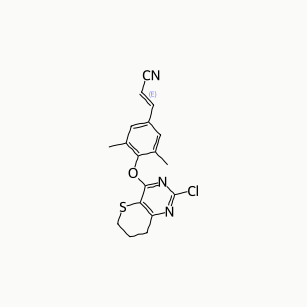 Cc1cc(/C=C/C#N)cc(C)c1Oc1nc(Cl)nc2c1SCCC2